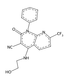 N#Cc1c(NCCO)c2ccc(C(F)(F)F)nc2n(-c2ccccc2)c1=O